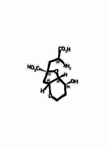 N[C@@H](C[C@]1(C(=O)O)C[C@H]2OCC[C@@H](O)[C@H]2O1)C(=O)O